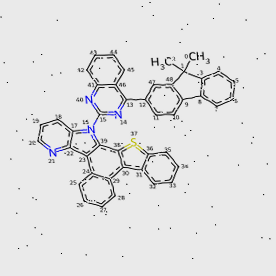 CC1(C)c2ccccc2-c2ccc(-c3nc(-n4c5cccnc5c5c6ccccc6c6c7ccccc7sc6c54)nc4ccccc34)cc21